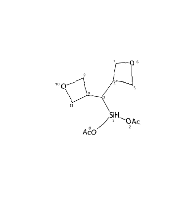 CC(=O)O[SiH](OC(C)=O)C(C1COC1)C1COC1